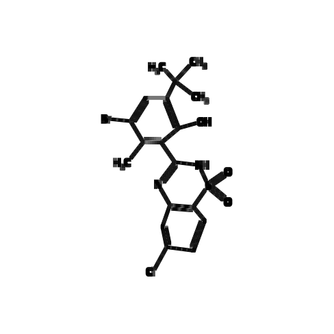 Cc1c(Br)cc(C(C)(C)C)c(O)c1C1=Nc2cc(Cl)ccc2S(=O)(=O)N1